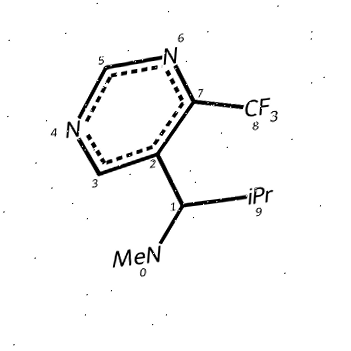 CNC(c1cncnc1C(F)(F)F)C(C)C